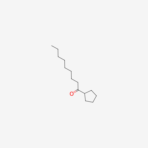 CCCCCCCCC(=O)C1CCCC1